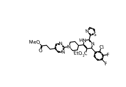 CCOC(=O)C1=C(C2CCN(c3ncc(CCC(=O)OC)cn3)CC2)NC(c2nccs2)=NC1c1ccc(F)c(F)c1Cl